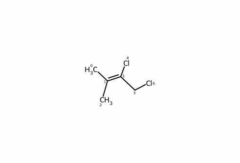 CC(C)=C(Cl)CCl